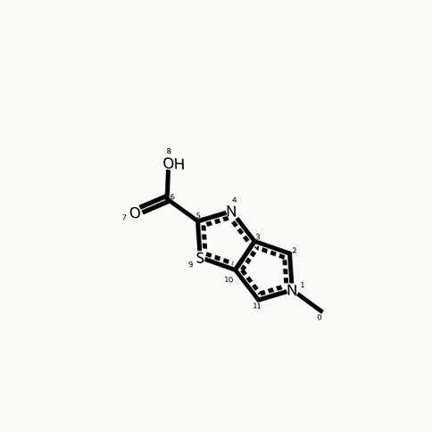 Cn1cc2nc(C(=O)O)sc2c1